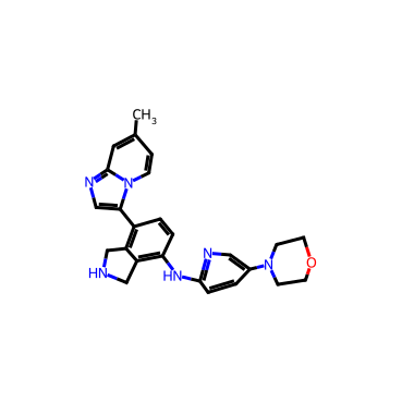 Cc1ccn2c(-c3ccc(Nc4ccc(N5CCOCC5)cn4)c4c3CNC4)cnc2c1